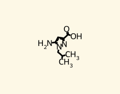 CC(C)Cn1nc(C(=O)O)cc1N